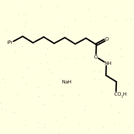 CC(C)CCCCCCCC(=O)ONCCC(=O)O.[NaH]